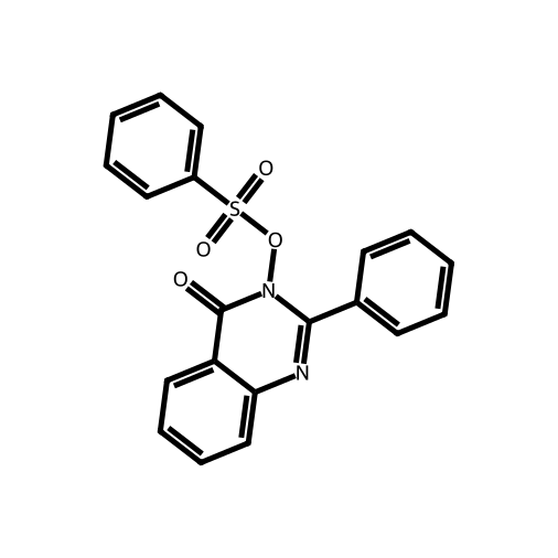 O=c1c2ccccc2nc(-c2ccccc2)n1OS(=O)(=O)c1ccccc1